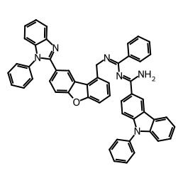 N/C(=N\C(=N/Cc1cccc2oc3ccc(-c4nc5ccccc5n4-c4ccccc4)cc3c12)c1ccccc1)c1ccc2c(c1)c1ccccc1n2-c1ccccc1